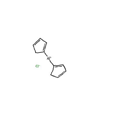 C1=CC[C]([Al+][C]2=CC=CC2)=C1.[Cl-]